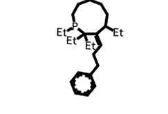 CCC1CCCCCP(CC)C(CC)(CC)C1=CCCc1ccccc1